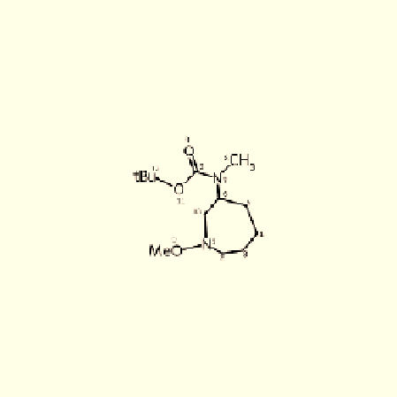 CON1CCCCC(N(C)C(=O)OC(C)(C)C)C1